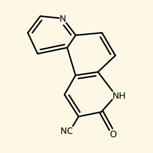 N#Cc1cc2c(ccc3ncccc32)[nH]c1=O